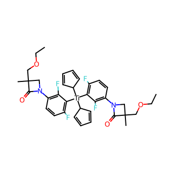 CCOCC1(C)CN(c2ccc(F)[c]([Ti]([c]3c(F)ccc(N4CC(C)(COCC)C4=O)c3F)([CH]3C=CC=C3)[CH]3C=CC=C3)c2F)C1=O